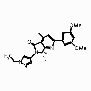 COc1cc(OC)cc(-c2cc(C)c3c(n2)[C@H](C)N(c2cnn(CC(F)(F)F)c2)C3=O)c1